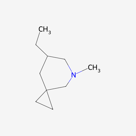 CCC1CN(C)CC2(CC2)C1